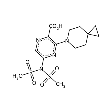 CS(=O)(=O)N(c1cnc(C(=O)O)c(N2CCC3(CC2)CC3)n1)S(C)(=O)=O